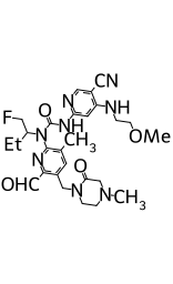 CCC(CF)N(C(=O)Nc1cc(NCCOC)c(C#N)cn1)c1nc(C=O)c(CN2CCN(C)CC2=O)cc1C